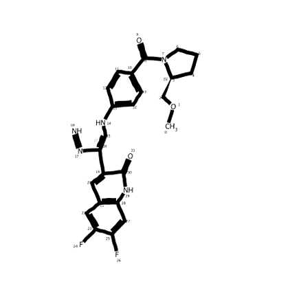 COC[C@@H]1CCCN1C(=O)c1ccc(N/C=C(\N=N)c2cc3cc(F)c(F)cc3[nH]c2=O)cc1